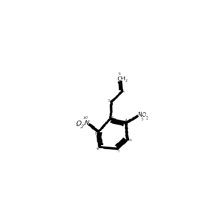 C=CCc1c([N+](=O)[O-])[c]ccc1[N+](=O)[O-]